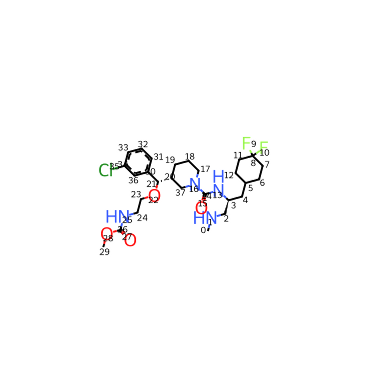 CNC[C@H](CC1CCC(F)(F)CC1)NC(=O)N1CCC[C@@H](C(OCCNC(=O)OC)c2cccc(Cl)c2)C1